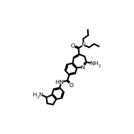 CCCN(CCC)C(=O)C1=Cc2ccc(C(=O)Nc3ccc4c(c3)C(N)CC4)cc2N=C(N)C1